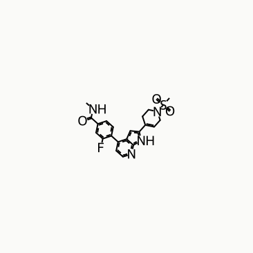 CNC(=O)c1ccc(-c2ccnc3[nH]c(C4=CCN(S(C)(=O)=O)CC4)cc23)c(F)c1